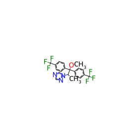 COC(c1ccc(C(F)(F)F)cc1)(c1ccc(C(F)(F)F)cc1)C(C)n1cncn1